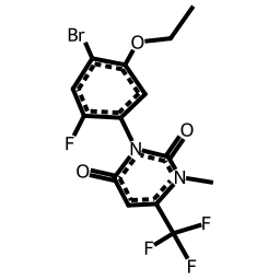 CCOc1cc(-n2c(=O)cc(C(F)(F)F)n(C)c2=O)c(F)cc1Br